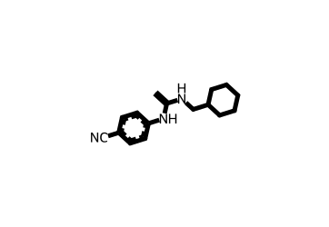 C=C(NCC1CCCCC1)Nc1ccc(C#N)cc1